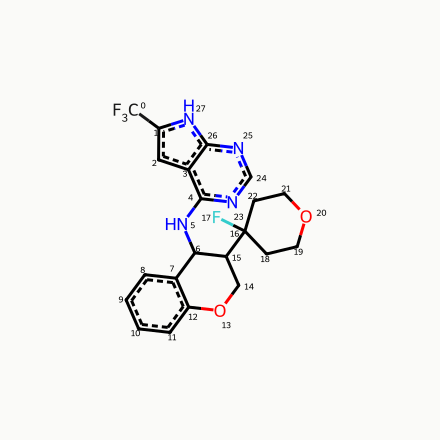 FC(F)(F)c1cc2c(NC3c4ccccc4OCC3C3(F)CCOCC3)ncnc2[nH]1